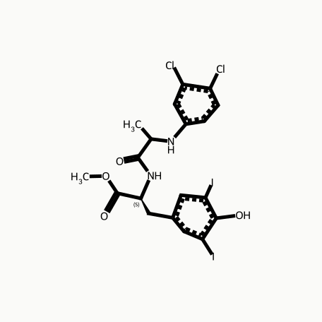 COC(=O)[C@H](Cc1cc(I)c(O)c(I)c1)NC(=O)C(C)Nc1ccc(Cl)c(Cl)c1